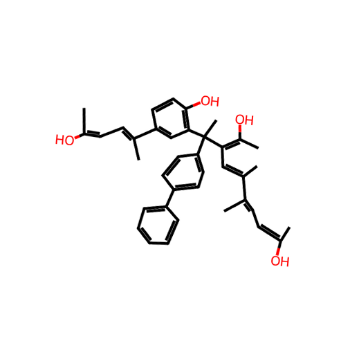 C\C(O)=C(/C=C(C)/C(C)=C/C=C(\C)O)C(C)(c1ccc(-c2ccccc2)cc1)c1cc(/C(C)=C/C=C(\C)O)ccc1O